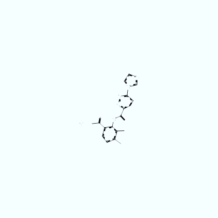 COC(=O)c1ccc(C)c(C)c1NC(=O)c1ccc(-n2ccnc2)nn1